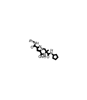 CCCN1C(=O)c2cc(C(=O)NC(C)C)nn2CC1(C)C(=O)NC1CCCC1